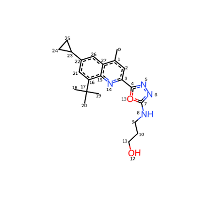 Cc1cc(-c2nnc(NCCCO)o2)nc2c(C(C)(C)C)cc(C3CC3)cc12